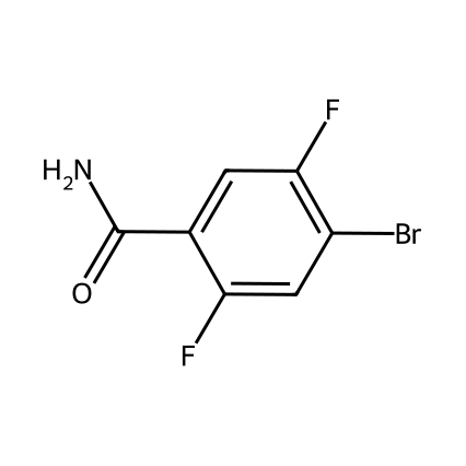 NC(=O)c1cc(F)c(Br)cc1F